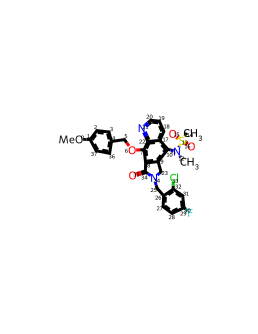 COc1ccc(COc2c3c(c(N(C)S(C)(=O)=O)c4cccnc24)CN(Cc2ccc(F)cc2Cl)C3=O)cc1